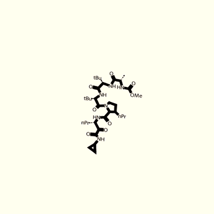 CCCC1CCN(C(=O)[C@@H](NC(=O)[C@@H](NC(=O)[C@H](C)NC(=O)OC)C(C)(C)C)C(C)(C)C)C1C(=O)N[C@@H](CCC)C(=O)C(=O)NC1CC1